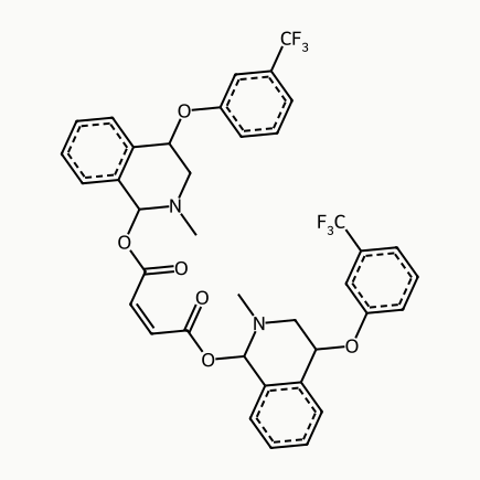 CN1CC(Oc2cccc(C(F)(F)F)c2)c2ccccc2C1OC(=O)/C=C\C(=O)OC1c2ccccc2C(Oc2cccc(C(F)(F)F)c2)CN1C